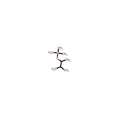 CC(C)C(C)O[Si](C)(C)C